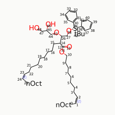 CCCCCCCC/C=C\CCCCCCCCOC(=O)C(CCCCCCCC/C=C\CCCCCCCC)C(CO[Si](c1ccccc1)(c1ccccc1)C(C)(C)C)OCC(O)CO